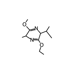 CCOC1=NC(C)C(OC)=NC1C(C)C